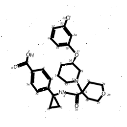 O=C(O)c1ccc(C2(NC(=O)C3(N4CCC[C@@H](Oc5cccc(Cl)c5)C4)CCOCC3)CC2)cc1